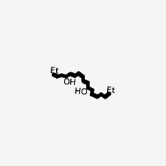 CC/C=C\C/C=C\C[C@H](O)/C=C/C=C\C=C\[C@@H](O)C/C=C\CC